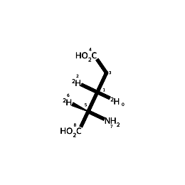 [2H]C([2H])(CC(=O)O)[C@]([2H])(N)C(=O)O